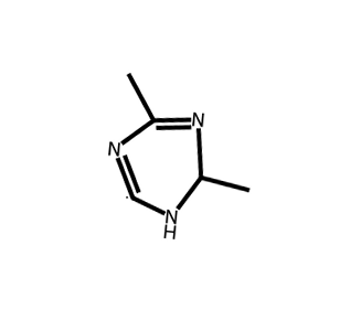 CC1=NC(C)N[C]=N1